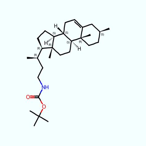 C[C@H]1CC[C@@]2(C)C(=CC[C@H]3[C@@H]4CC[C@H]([C@H](C)CCNC(=O)OC(C)(C)C)[C@@]4(C)CC[C@@H]32)C1